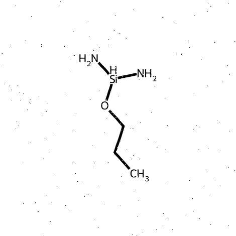 CCCO[SiH](N)N